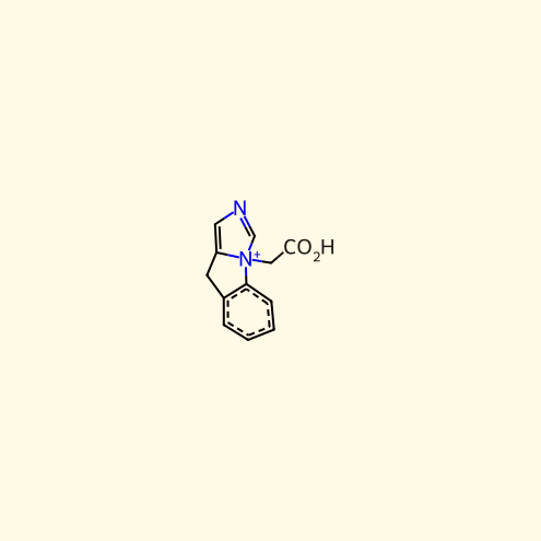 O=C(O)C[N+]12C=NC=C1Cc1ccccc12